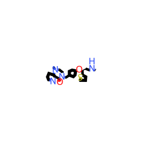 CNCC[C@H](Oc1ccc(CN2CCN(C)c3cccnc3C2=O)cc1)c1cccs1